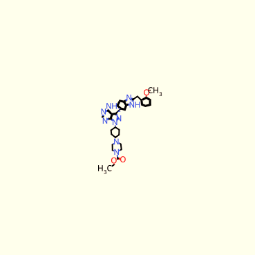 CCOC(=O)N1CCN([C@H]2CC[C@H](n3nc(-c4ccc5nc(Cc6ccccc6OC)[nH]c5c4)c4c(N)ncnc43)CC2)CC1